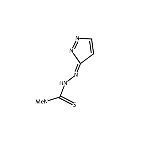 CNC(=S)NN=C1C=CN=N1